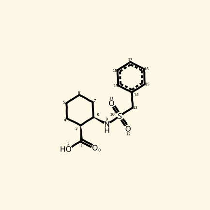 O=C(O)[C@H]1CCCC[C@H]1NS(=O)(=O)Cc1ccccc1